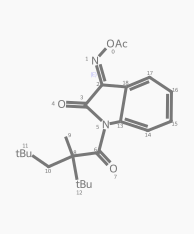 CC(=O)O/N=C1/C(=O)N(C(=O)C(C)(CC(C)(C)C)C(C)(C)C)c2ccccc21